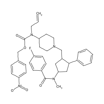 C=CCN(C(=O)OCc1ccc([N+](=O)[O-])cc1)C1CCN(CC2CC(N(C)C(=O)c3ccc(F)cc3)CC2c2ccccc2)CC1